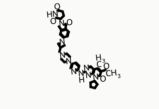 CC(=O)c1c(C)c2cnc(Nc3ccc(N4CCN(CC5CN(c6ccc7c(c6)CN(C6CCC(=O)NC6=O)C7=O)C5)CC4)cn3)nc2n(C2CCCC2)c1=O